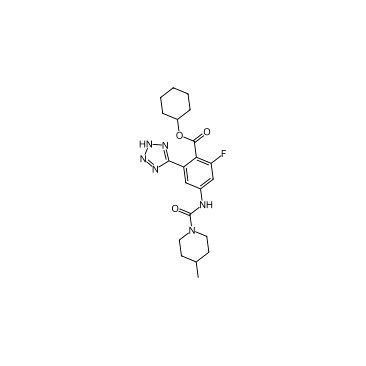 CC1CCN(C(=O)Nc2cc(F)c(C(=O)OC3CCCCC3)c(-c3nn[nH]n3)c2)CC1